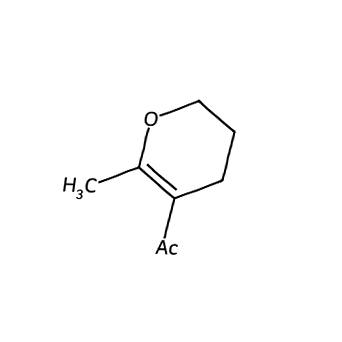 CC(=O)C1=C(C)OCCC1